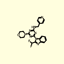 FC(F)c1nc2ccccc2n1-c1nc(NCc2ccncc2)nc(N2CCOCC2)n1